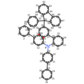 c1ccc(-c2ccc(N(c3ccc(-c4ccccc4)cc3)c3ccccc3-c3cccc(C4(c5ccccc5)c5ccccc5-c5ccccc54)c3)cc2)cc1